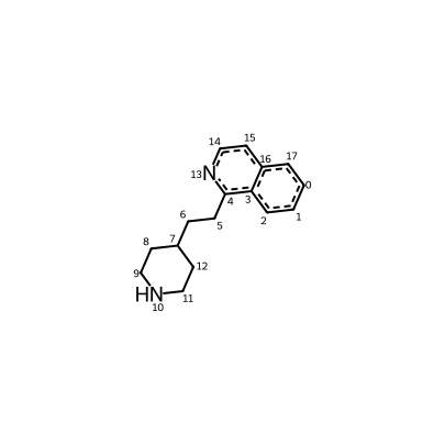 c1ccc2c(CCC3CCNCC3)nccc2c1